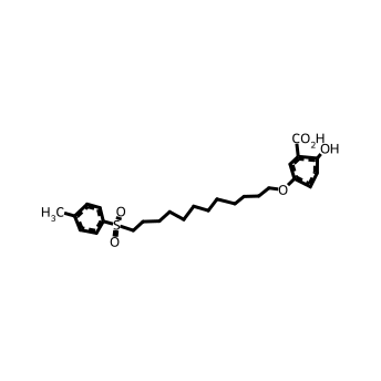 Cc1ccc(S(=O)(=O)CCCCCCCCCCCCOc2ccc(O)c(C(=O)O)c2)cc1